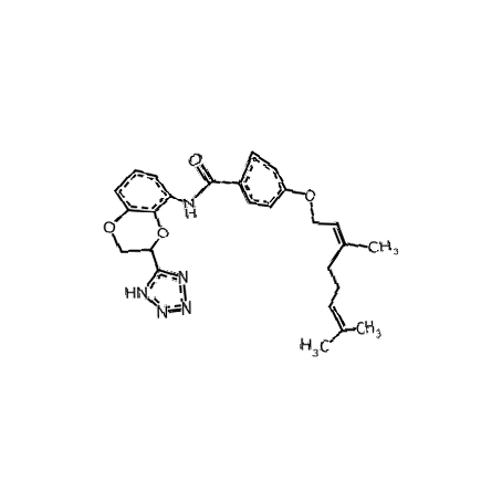 CC(C)=CCCC(C)=CCOc1ccc(C(=O)Nc2cccc3c2OC(c2nnn[nH]2)CO3)cc1